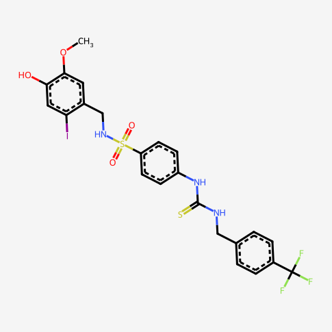 COc1cc(CNS(=O)(=O)c2ccc(NC(=S)NCc3ccc(C(F)(F)F)cc3)cc2)c(I)cc1O